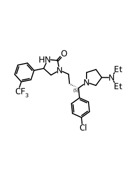 CCN(CC)C1CCN([C@@H](CCN2CC(c3cccc(C(F)(F)F)c3)NC2=O)c2ccc(Cl)cc2)C1